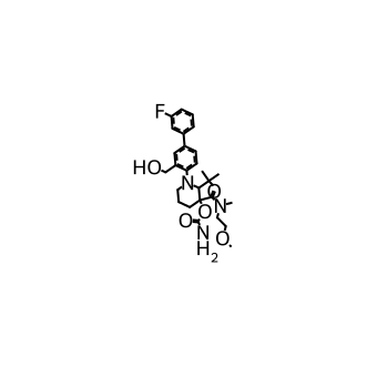 COCCN(C)C(=O)C1(OC(N)=O)CCCN(c2ccc(-c3cccc(F)c3)cc2CO)C1C(C)(C)C